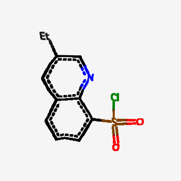 CCc1cnc2c(S(=O)(=O)Cl)cccc2c1